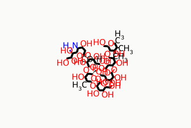 CC1C(O)[C@H](O[C@@H]2OC(CO)[C@H](O)C(O[C@]3(C(=O)O)C[C@@H](O)[C@@H](N)C([C@H](O)[C@H](O)CO)O3)[C@@H]2O)[C@H](CO)O[C@H]1O[C@@H]1C(O)[C@H](O)C(CO)O[C@@H]1OCC1O[C@@H](O[C@@H]2C(CO)O[C@@H](O[C@@H]3C(CO)O[C@@H](C)[C@@H](C)C3O)[C@@H](C)C2O)C(O)C(O)[C@@H]1O